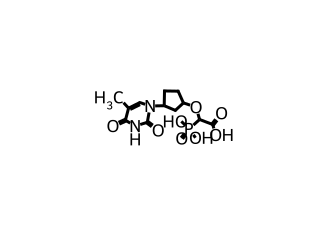 Cc1cn(C2CCC(OC(C(=O)O)P(=O)(O)O)C2)c(=O)[nH]c1=O